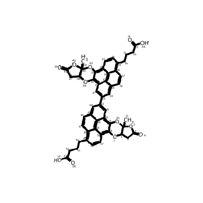 CC12OC(=O)CC1Oc1c(c3cc(-c4cc5ccc6c(CCCC(=O)O)ccc7c8c(c(c4)c5c67)OC4CC(=O)OC4(C)O8)cc4ccc5c(CCCC(=O)O)ccc1c5c43)O2